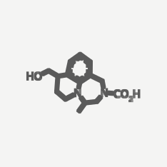 CC1CN(C(=O)O)Cc2cccc3c2N1CCC3CO